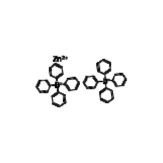 [Zn+2].c1ccc([B-](c2ccccc2)(c2ccccc2)c2ccccc2)cc1.c1ccc([B-](c2ccccc2)(c2ccccc2)c2ccccc2)cc1